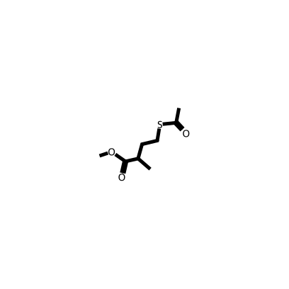 COC(=O)C(C)CCSC(C)=O